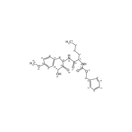 CCCCC(NC(=O)OCc1ccccc1)C(=O)NC(Cc1ccc(OC)cc1)C(=O)CO